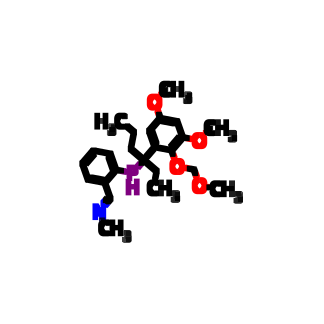 CCCC(CC)(Pc1ccccc1/C=N/C)c1cc(OC)cc(OC)c1OCOC